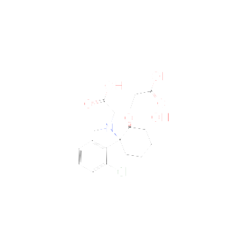 CN([C@@H](CCC(=O)O)C(=O)O)[C@]1(c2ccccc2Cl)CCC[C@@H](O)C1=O